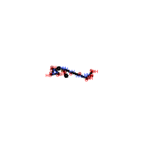 COC(=O)[C@H](CCC(=O)O)NC(=O)N[C@@H](CCCCNC(=O)CCCCCCC(=O)NCCCCC(NC(=S)Nc1ccc(CC2CN(CC(=O)O)CCN(CC(=O)O)CCN2CC(=O)O)cc1)C(=O)OCc1ccccc1)C(=O)O